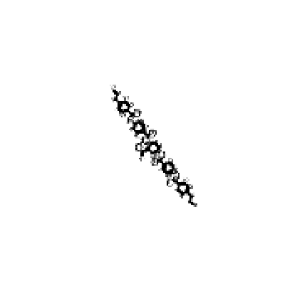 CCCc1ccc(C(=O)Oc2ccc(C(=O)Oc3ccc(OC(=O)c4ccc(OC(=O)c5ccc(CCC)cc5)cc4)c(C(C)=O)c3)cc2)cc1